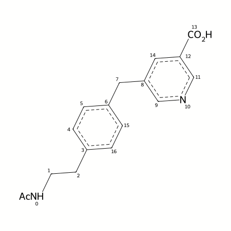 CC(=O)NCCc1ccc(Cc2cncc(C(=O)O)c2)cc1